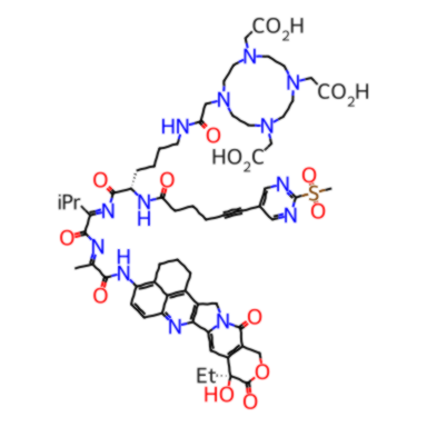 CC[C@@]1(O)C(=O)OCc2c1cc1n(c2=O)Cc2c-1nc1ccc(NC(=O)C(C)=NC(=O)C(=NC(=O)[C@H](CCCCNC(=O)CN3CCN(CC(=O)O)CCN(CC(=O)O)CCN(CC(=O)O)CC3)NC(=O)CCCC#Cc3cnc(S(C)(=O)=O)nc3)C(C)C)c3c1c2CCC3